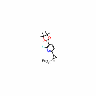 CCOC(=O)[C@H]1CC1c1ccc(B2OC(C)(C)C(C)(C)O2)c(F)n1